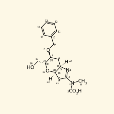 CN(C(=O)O)C1=N[C@@H]2C[C@H](OCc3ccccc3)[C@@H](CO)O[C@@H]2S1